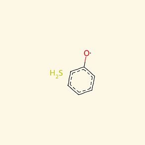 S.[O]c1ccccc1